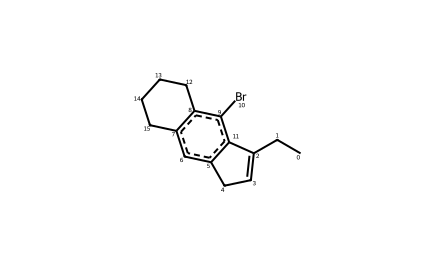 CCC1=CCc2cc3c(c(Br)c21)CCCC3